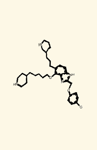 Clc1ccc(OCc2nc3c(OCCCCCC4CCNCC4)c(CCCC4CCCNC4)ccc3[nH]2)cc1